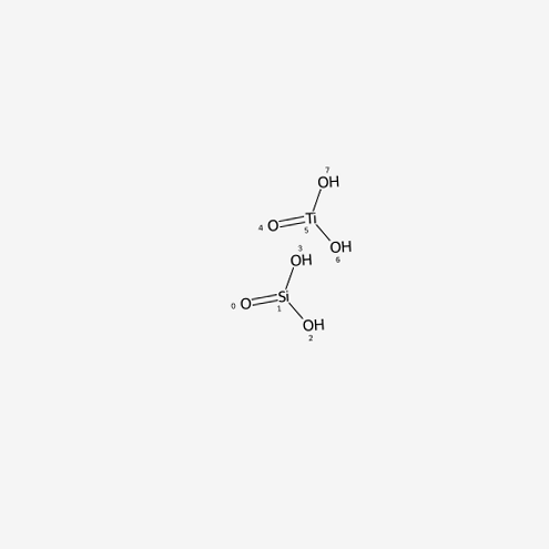 O=[Si](O)O.[O]=[Ti]([OH])[OH]